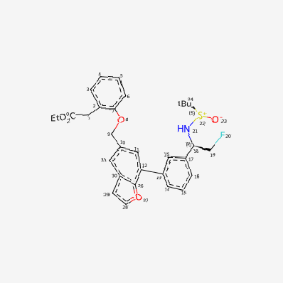 CCOC(=O)Cc1ccccc1OCc1cc(-c2cccc([C@H](CF)N[S@+]([O-])C(C)(C)C)c2)c2occc2c1